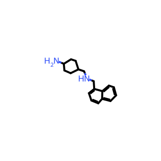 NC1CCC(CNCc2cccc3ccccc23)CC1